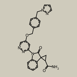 NC(=O)C1CC12C(=O)N(c1cc(OCc3ccc(Cn4cccn4)cc3)cnn1)c1ccccc12